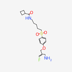 NC/C(=C\F)COc1ccc(S(=O)(=O)CCCCCNC(=O)C2CCC2)cc1